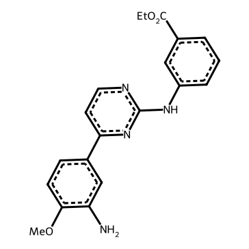 CCOC(=O)c1cccc(Nc2nccc(-c3ccc(OC)c(N)c3)n2)c1